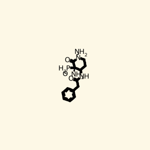 NN1CCC(NC(=O)Cc2ccccc2)[C@](N)([PH2]=O)C1=O